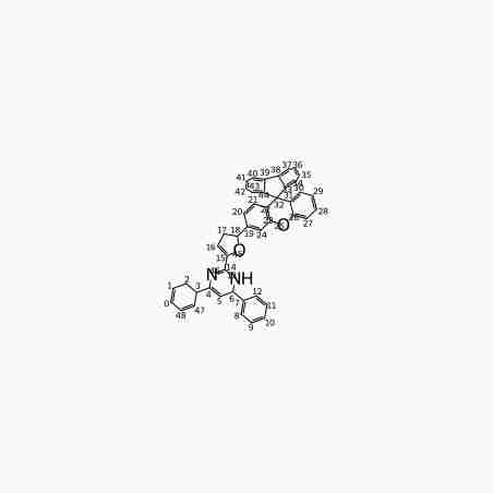 C1=CCC(C2=CC(c3ccccc3)NC(C3=CCC(c4ccc5c(c4)Oc4ccccc4C54c5ccccc5-c5ccccc54)O3)=N2)C=C1